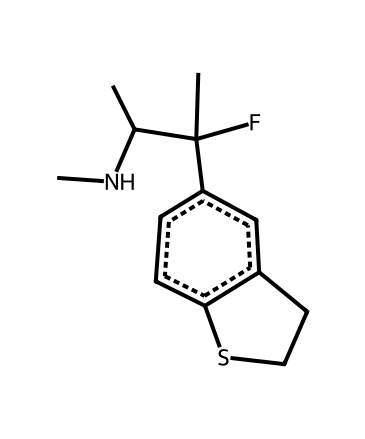 CNC(C)C(C)(F)c1ccc2c(c1)CCS2